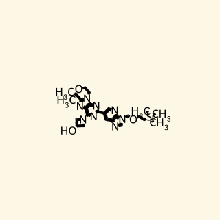 CC1(C)OCCn2c1nc1c(N3CC(O)C3)nc(-c3cnc4c(c3)ncn4COCC[Si](C)(C)C)nc12